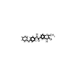 CC1Sc2ccc(C(=O)Nc3ccc(CN4CCCCC4)cc3)cc2NC1=O